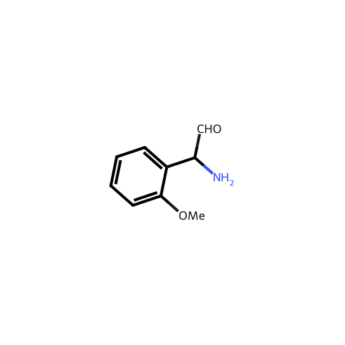 COc1ccccc1C(N)C=O